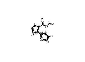 CCOC(=O)c1ccsc1-c1cccs1